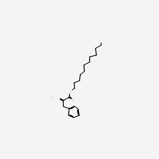 C=C(Cc1ccccc1)C(=O)OCCCCCCCCCCCC